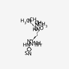 CCCNc1nc(Nc2ccc3ncsc3c2)ncc1C#CCCCNC(=O)[C@H](C)N(C)C(=O)/C=C/CN(C)C